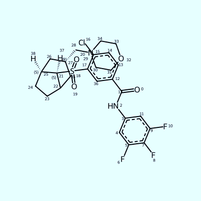 O=C(Nc1cc(F)c(F)c(F)c1)c1ccc(Cl)c(S(=O)(=O)[C@H]2C3CC[C@H]2C[C@H](CN2CCOCC2)C3)c1